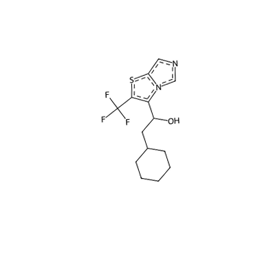 OC(CC1CCCCC1)c1c(C(F)(F)F)sc2cncn12